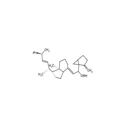 C=C1CCC2CC12C(/C=C1\CCC[C@@]2(C)C1CC[C@@H]2[C@H](C)/C=C/[C@H](C)C(C)C)OC